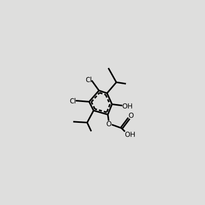 CC(C)c1c(O)c(OC(=O)O)c(C(C)C)c(Cl)c1Cl